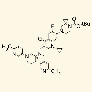 Cc1ccc(N2CCC[C@H](N(Cc3ccnc(C)c3)Cc3cn(C4CC4)c4cc(N5CCN(C(=O)OC(C)(C)C)C6(CC6)C5)c(F)cc4c3=O)C2)cn1